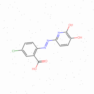 O=C(O)c1cc(Cl)ccc1/N=N/c1ccc(O)c(O)n1